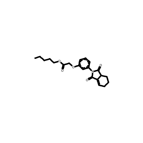 CCCCCOC(=O)COc1cccc(N2C(=O)C3=CCCCC3C2=O)c1